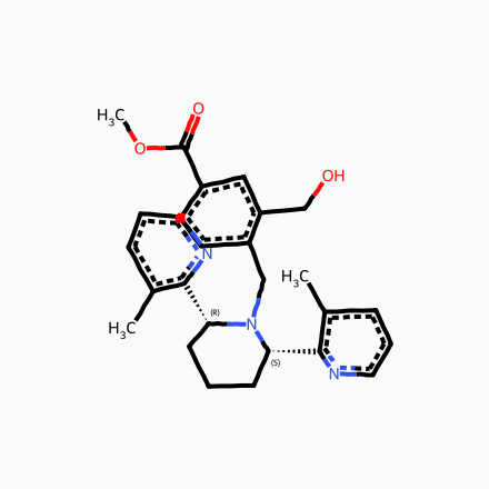 COC(=O)c1ccc(CN2[C@@H](c3ncccc3C)CCC[C@H]2c2ncccc2C)c(CO)c1